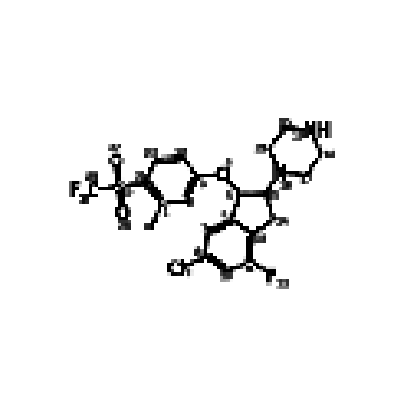 Cc1cc(OC2c3cc(Cl)cc(F)c3CC2N2CCNCC2)ccc1S(=O)(=O)C(F)(F)F